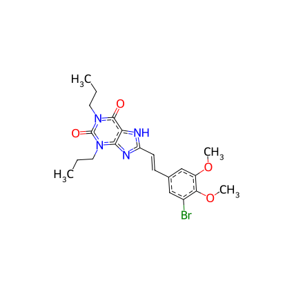 CCCn1c(=O)c2[nH]c(/C=C/c3cc(Br)c(OC)c(OC)c3)nc2n(CCC)c1=O